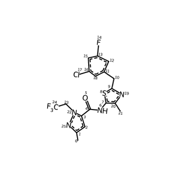 Cc1cc(C(=O)Nc2sc(Cc3cc(F)cc(Cl)c3)nc2C)n(CC(F)(F)F)n1